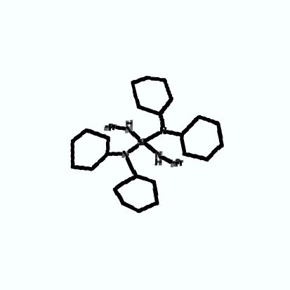 CCCN[Si](NCCC)(N(C1CCCCC1)C1CCCCC1)N(C1CCCCC1)C1CCCCC1